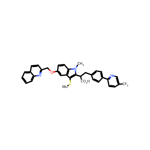 Cn1c(C(Cc2ccc(-c3ccc(C(F)(F)F)cn3)cc2)C(=O)O)c(SC(C)(C)C)c2cc(OCc3ccc4ccccc4n3)ccc21